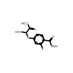 CCCCCCCCC(Oc1ccc(C(=O)CCCCCC)c(F)c1)C(=O)C(=O)O